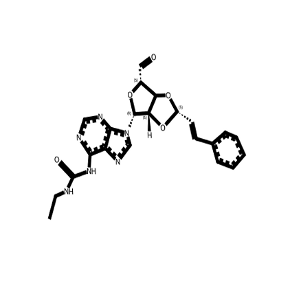 CCNC(=O)Nc1ncnc2c1ncn2[C@@H]1O[C@H](C=O)C2O[C@H](C=Cc3ccccc3)O[C@@H]21